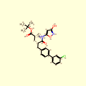 C[C@H](C[C@@H](Cc1ccc(-c2cccc(Cl)c2)cc1)C(=O)Nc1cc(O)no1)C(=O)OC(C)(C)C